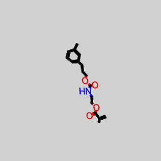 C=C(C)C(=O)OCCNC(=O)OCCCc1cccc(C)c1